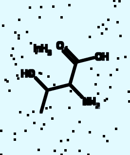 CC(O)C(N)C(=O)O.[InH3]